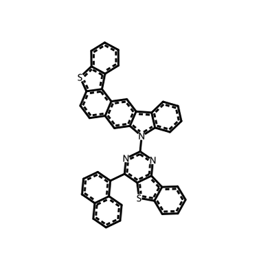 c1ccc2c(-c3nc(-n4c5ccccc5c5cc6c(ccc7sc8ccccc8c76)cc54)nc4c3sc3ccccc34)cccc2c1